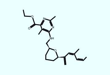 C=C(/C=C(C)\C=C/C)[C@H]1CCC[C@@H](CNc2nc(C)nc(C(=O)OCC)c2C)O1